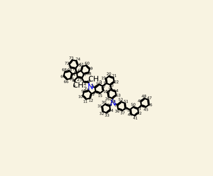 C=CC1=C(/C=C(\C)n2c3ccccc3c3ccc(-c4ccccc4-c4ccc(N(c5ccccc5)c5ccc(-c6cccc(-c7ccccc7)c6)cc5)cc4)cc32)c2ccccc2C1(c1ccccc1)c1ccccc1